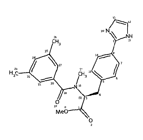 COC(=O)[C@H](Cc1ccc(-c2ncc[nH]2)cc1)N(C)C(=O)c1cc(C)cc(C)c1